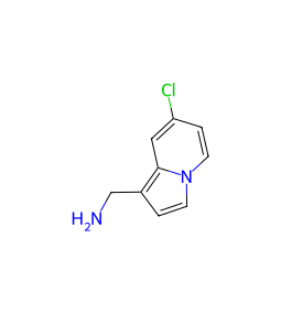 NCc1ccn2ccc(Cl)cc12